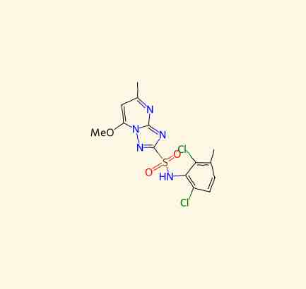 COc1cc(C)nc2nc(S(=O)(=O)Nc3c(Cl)ccc(C)c3Cl)nn12